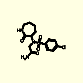 NC(=O)CN(C1CCCCNC1=O)S(=O)(=O)c1ccc(Cl)cc1